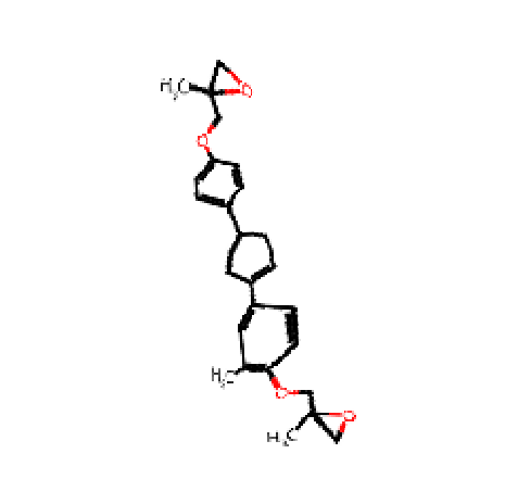 Cc1cc(C2=CCC(c3ccc(OCC4(C)CO4)cc3)CC2)ccc1OCC1(C)CO1